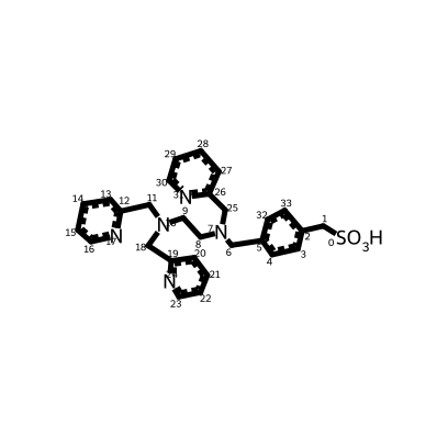 O=S(=O)(O)Cc1ccc(CN(CCN(Cc2ccccn2)Cc2ccccn2)Cc2ccccn2)cc1